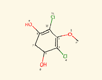 COC1=C(Cl)C(O)[CH]C(O)=C1Cl